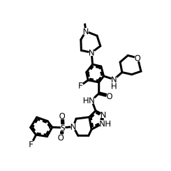 CN1CCN(c2cc(F)c(C(=O)Nc3n[nH]c4c3CN(S(=O)(=O)c3cccc(F)c3)CC4)c(NC3CCOCC3)c2)CC1